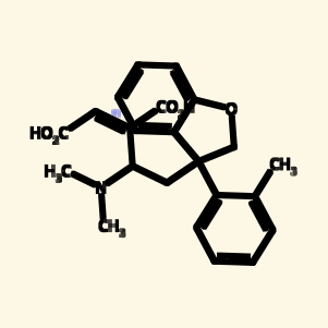 Cc1ccccc1C1(CC(/C(=C\C(=O)O)C(=O)O)N(C)C)COc2ccccc21